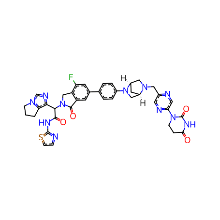 O=C1CCN(c2cnc(CN3C[C@H]4C[C@@H]3CN4c3ccc(-c4cc(F)c5c(c4)C(=O)N(C(C(=O)Nc4nccs4)c4ncn6c4CCC6)C5)cc3)cn2)C(=O)N1